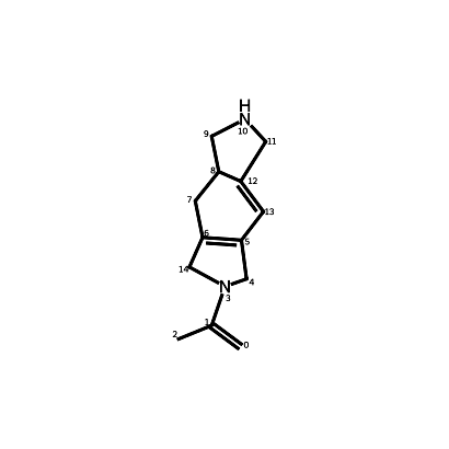 C=C(C)N1CC2=C(CC3CNCC3=C2)C1